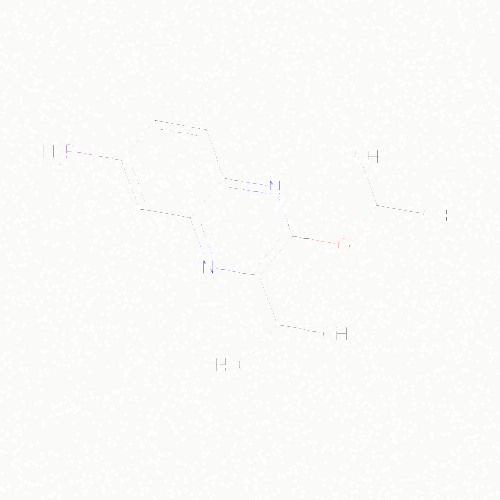 CC(C)Oc1nc2ccc(P)cc2nc1C(C)C